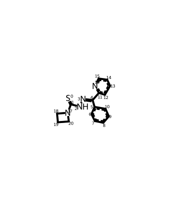 S=C(N/N=C(\c1ccccc1)c1ccccn1)N1CCC1